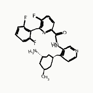 C[C@H]1C[C@H](N)C[C@@H](c2ccncc2NC(=O)c2ccc(F)c(-c3c(F)cccc3F)n2)C1